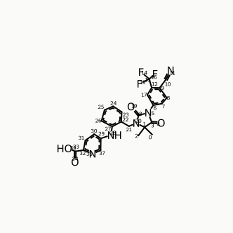 CC1(C)C(=O)N(c2ccc(C#N)c(C(F)(F)F)c2)C(=O)N1Cc1ccccc1Nc1ccc(C(=O)O)nc1